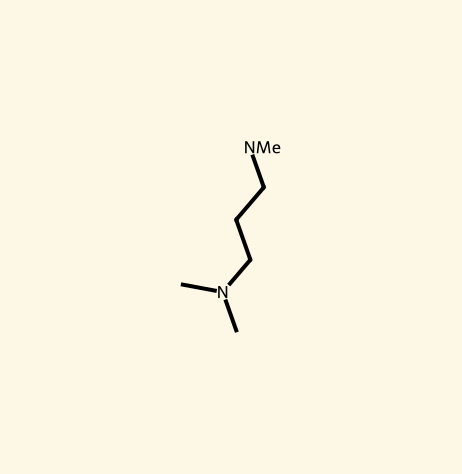 [CH2-][NH2+]CCCN(C)C